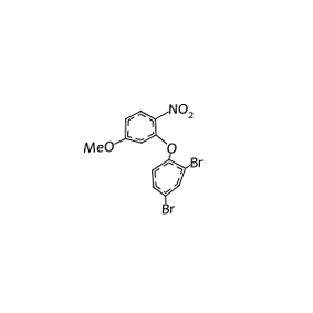 COc1ccc([N+](=O)[O-])c(Oc2ccc(Br)cc2Br)c1